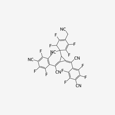 N#CCC1=C(F)C(F)C(C#N)(C2C(=C(C#N)c3c(F)c(F)c(C#N)c(F)c3F)C2=C(C#N)c2c(F)c(F)c(C#N)c(F)c2F)C(F)=C1F